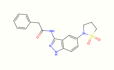 O=C(Cc1ccccc1)Nc1n[nH]c2ccc(N3CCCS3(=O)=O)cc12